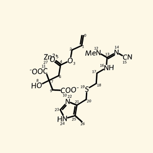 C=CCOC(=O)CC(O)(CC(=O)[O-])C(=O)[O-].CN/C(=N/C#N)NCCSCc1nc[nH]c1C.[Zn+2]